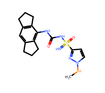 CPn1ccc(S(=N)(=O)NC(=O)Nc2c3c(cc4c2CCC4)CCC3)n1